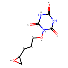 O=c1[nH]c(=O)n(OCCCC2CO2)c(=O)[nH]1